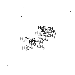 CCCO[SiH](CC(C)CN1CCN([Si](C(C)C)(C(C)C)C(C)C)CC1)OCCC